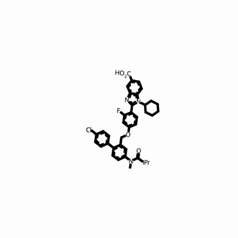 CC(C)C(=O)N(C)c1ccc(-c2ccc(Cl)cc2)c(COc2ccc(-c3nc4cc(C(=O)O)ccc4n3C3CCCCC3)c(F)c2)c1